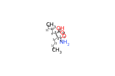 CCCC/C(C(N)=O)=C(\CCCC)C(=O)O